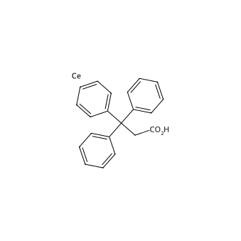 O=C(O)CC(c1ccccc1)(c1ccccc1)c1ccccc1.[Ce]